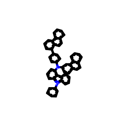 c1ccc(-n2c3ccccc3c3c(N(c4ccc(-c5cccc6c5ccc5ccccc56)cc4)c4ccc5ccc6ccccc6c5c4)cccc32)cc1